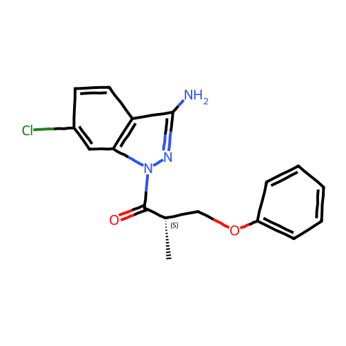 C[C@@H](COc1ccccc1)C(=O)n1nc(N)c2ccc(Cl)cc21